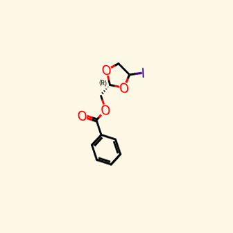 O=C(OC[C@@H]1OCC(I)O1)c1ccccc1